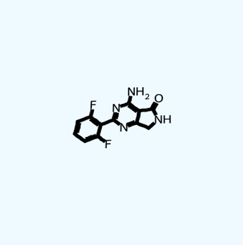 Nc1nc(-c2c(F)cccc2F)nc2c1C(=O)NC2